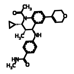 CNC(=O)c1ccc(N[C@@H]2c3cc(C4=CCOCC4)ccc3N(C(C)=O)[C@@H](C3CC3)[C@H]2C)cc1